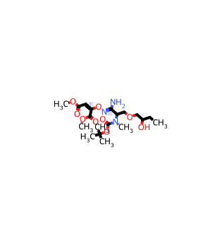 CCC(O)COCC(/C(N)=N/O/C(=C/C(=O)OC)C(=O)OC)N(C)C(=O)OC(C)(C)C